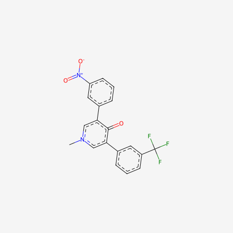 Cn1cc(-c2cccc([N+](=O)[O-])c2)c(=O)c(-c2cccc(C(F)(F)F)c2)c1